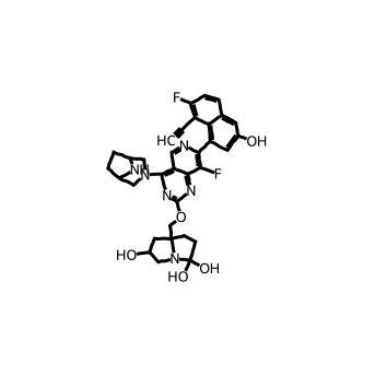 C#Cc1c(F)ccc2cc(O)cc(-c3ncc4c(N5CC6CCC(C5)N6)nc(OCC56CCC(O)(O)N5CC(O)C6)nc4c3F)c12